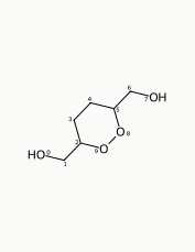 OCC1CCC(CO)OO1